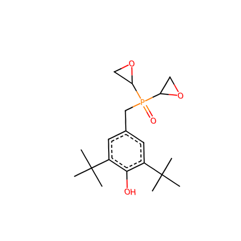 CC(C)(C)c1cc(CP(=O)(C2CO2)C2CO2)cc(C(C)(C)C)c1O